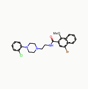 COc1c(C(=O)NCCN2CCN(c3ccccc3Cl)CC2)cc(Br)c2ccccc12